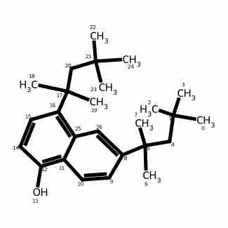 CC(C)(C)CC(C)(C)c1ccc2c(O)ccc(C(C)(C)CC(C)(C)C)c2c1